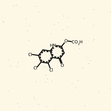 O=C(O)Oc1cc(=O)c2c(Cl)c(Cl)c(Cl)cc2[nH]1